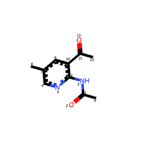 CC(=O)Nc1ncc(C)cc1C(C)=O